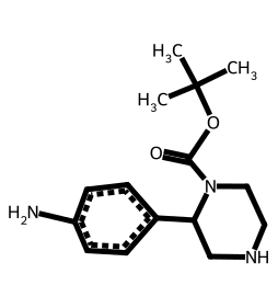 CC(C)(C)OC(=O)N1CCNCC1c1ccc(N)cc1